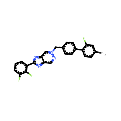 Fc1cc(C(F)(F)F)ccc1-c1ccc(Cn2cc3nc(-c4cccc(F)c4F)nc-3cn2)cc1